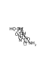 NC(=O)C1CCCN1c1ncnc2c1ncn2[C@@H]1O[C@H](CO)[C@@H](O)[C@]1(O)C(F)(F)F